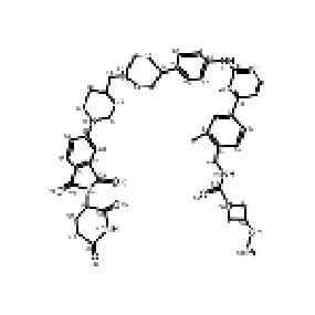 Cc1cc(-c2ccnc(Nc3ccc(C4CCN(CC5CCN(c6ccc7c(c6)C(=O)N(C6CCC(=O)NC6=O)C7=O)CC5)CC4)cc3)n2)ccc1CNC(=O)N1CC(OC(C)C)C1